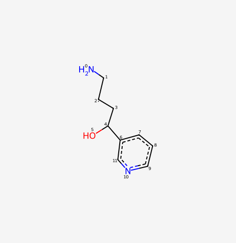 NC[CH]CC(O)c1cccnc1